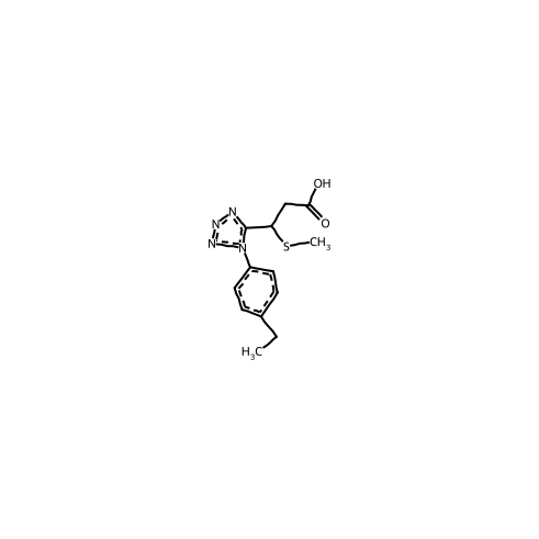 CCc1ccc(-n2nnnc2C(CC(=O)O)SC)cc1